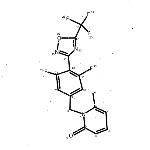 Cc1cccc(=O)n1Cc1cc(F)c(-c2noc(C(F)(F)F)n2)c(F)c1